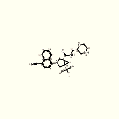 N#Cc1ccc(N2C[C@@]3(C(=O)NC[C@@H]4CNCCO4)C[C@@]3(C(F)(F)F)C2)c2cccnc12